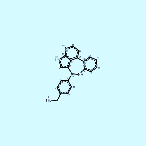 OCc1ccc([C@@H]2Nc3ccccc3-c3ccnc4[nH]cc2c34)cc1